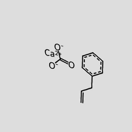 C=CCc1ccccc1.O=C([O-])[O-].[Ca+2]